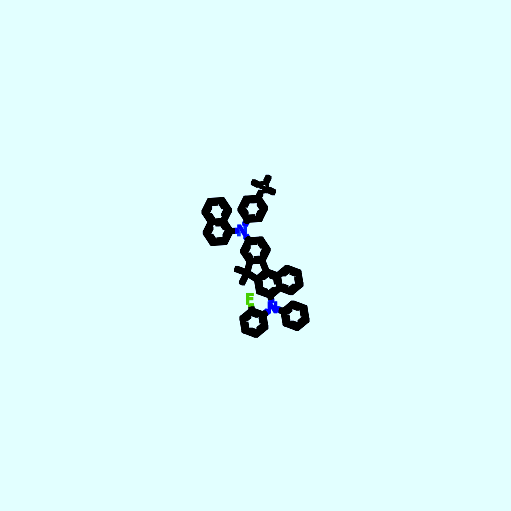 CC1(C)c2cc(N(c3ccc([Si](C)(C)C)cc3)c3cccc4ccccc34)ccc2-c2c1cc(N(c1ccccc1)c1ccccc1F)c1ccccc21